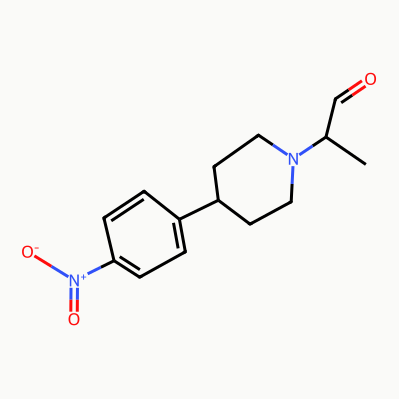 CC(C=O)N1CCC(c2ccc([N+](=O)[O-])cc2)CC1